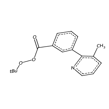 Cc1cccnc1-c1cccc(C(=O)OOC(C)(C)C)c1